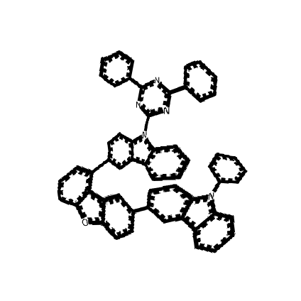 c1ccc(-c2nc(-c3ccccc3)nc(-n3c4ccccc4c4cc(-c5cccc6oc7ccc(-c8ccc9c(c8)c8ccccc8n9-c8ccccc8)cc7c56)ccc43)n2)cc1